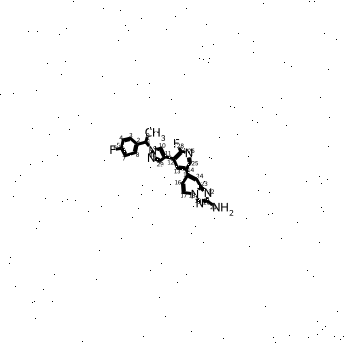 CC(c1ccc(F)cc1)n1cc(-c2cc(-c3ccn4nc(N)nc4c3)cnc2F)cn1